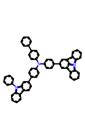 c1ccc(-c2ccc(N(c3ccc(-c4cc5c6ccccc6n6c7ccccc7c(c4)c56)cc3)c3ccc(-c4ccc5c6ccccc6n(-c6ccccc6)c5c4)cc3)cc2)cc1